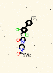 CNC(=O)N1CCC(N2CC[C@@H](Cc3c(Cl)cc(-c4ccc(C(F)(F)F)cc4)cc3Cl)C2=O)CC1